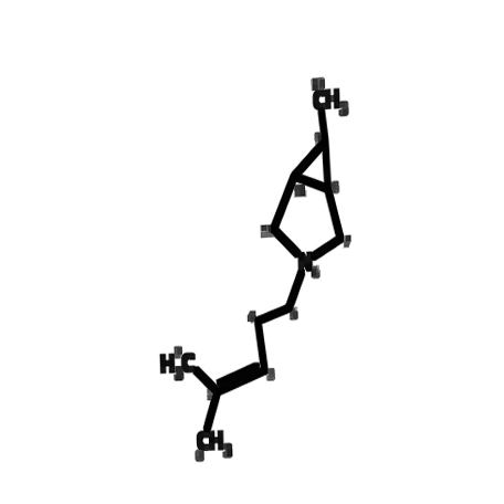 CC(C)=CCCN1CC2C(C)C2C1